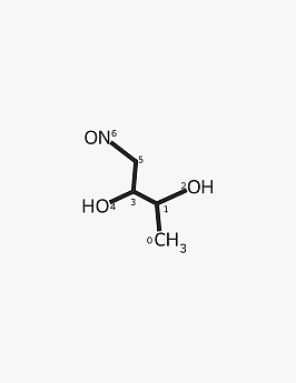 CC(O)C(O)CN=O